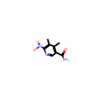 Cc1c(C(N)=O)cnc([N+](=O)[O-])c1C